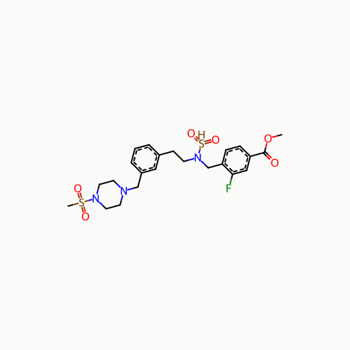 COC(=O)c1ccc(CN(CCc2cccc(CN3CCN(S(C)(=O)=O)CC3)c2)[SH](=O)=O)c(F)c1